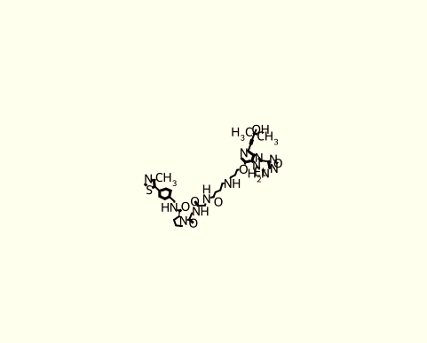 CCn1c(-c2nonc2N)nc2c(C#CC(C)(C)O)ncc(OCCCNCCCC(=O)NCC(=O)NCC(=O)N3CCC[C@H]3C(=O)NCc3ccc(-c4scnc4C)cc3)c21